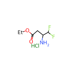 CCOC(=O)CC(N)C(F)F.Cl